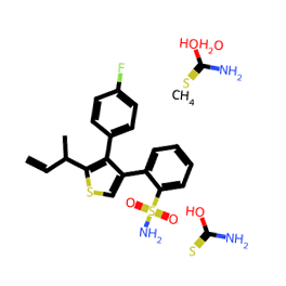 C.C=CC(C)c1scc(-c2ccccc2S(N)(=O)=O)c1-c1ccc(F)cc1.NC(O)=S.NC(O)=S.O